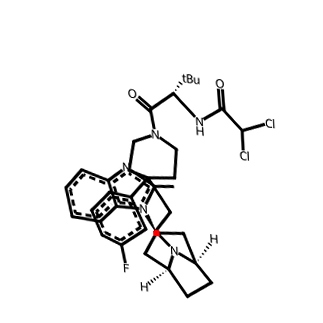 Cc1nc2ccccc2n1[C@H]1C[C@H]2CC[C@@H](C1)N2CCC1(c2cccc(F)c2)CCN(C(=O)[C@@H](NC(=O)C(Cl)Cl)C(C)(C)C)CC1